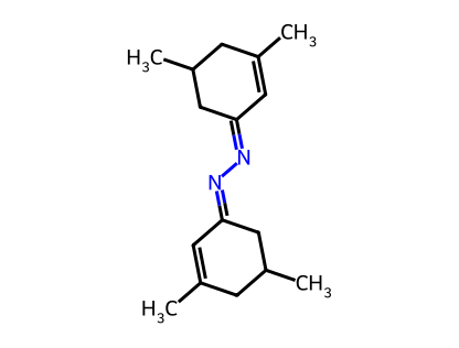 CC1=CC(=NN=C2C=C(C)CC(C)C2)CC(C)C1